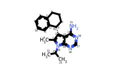 Cc1c([C@H]2CCCc3ccccc32)c2c(N)ncnc2n1C(C)C